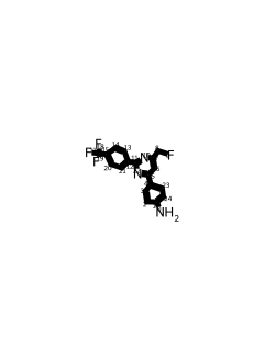 Nc1ccc(-c2cc(CF)nc(-c3ccc(C(F)(F)F)cc3)n2)cc1